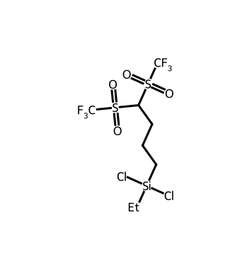 CC[Si](Cl)(Cl)CCCC(S(=O)(=O)C(F)(F)F)S(=O)(=O)C(F)(F)F